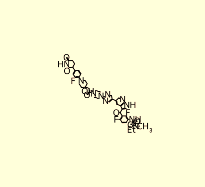 CCN(C)S(=O)(=O)Nc1ccc(F)c(C(=O)c2c[nH]c3ncc(-c4cnc(N5CCN(C(=O)CC6(O)CCN(c7ccc(C8CCC(=O)NC8=O)cc7F)CC6)CC5)nc4)cc23)c1F